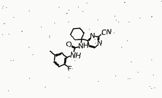 Cc1ccc(F)c(NC(=O)NC2(c3ccnc(C#N)n3)CCCCC2)c1